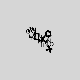 CCOCc1nc2c(NC(=O)C(C)(C)C)nc3ccccc3c2n1CC(C)(C)NS(C)(=O)=O